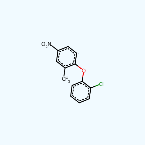 O=[N+]([O-])c1c[c]c(Oc2ccccc2Cl)c(C(F)(F)F)c1